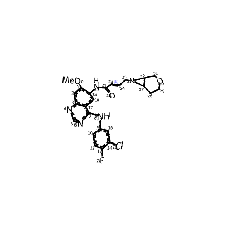 COc1cc2ncnc(Nc3ccc(F)c(Cl)c3)c2cc1NC(=O)/C=C/CN1C2CCOCC21